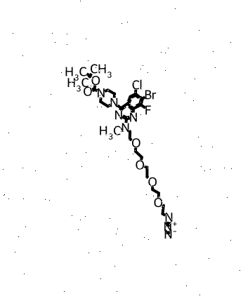 CN(CCOCCOCCOCCOCCN=[N+]=[N-])c1nc(N2CCN(C(=O)OC(C)(C)C)CC2)c2cc(Cl)c(Br)c(F)c2n1